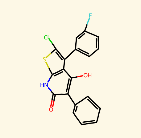 O=c1[nH]c2sc(Cl)c(-c3cccc(F)c3)c2c(O)c1-c1ccccc1